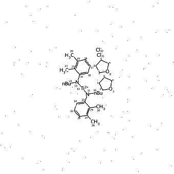 C1CCOC1.C1CCOC1.CCCC[N]([Ti+2][N](CCCC)c1cccc(C)c1C)c1cccc(C)c1C.[Cl-].[Cl-]